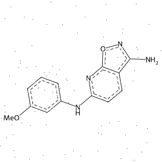 COc1cccc(Nc2ccc3c(N)noc3n2)c1